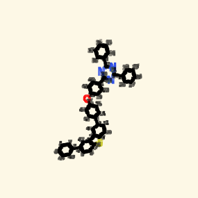 c1ccc(-c2ccc3sc4ccc(-c5ccc(Oc6ccc(-c7nc(-c8ccccc8)nc(-c8ccccc8)n7)cc6)cc5)cc4c3c2)cc1